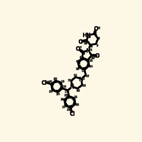 O=C1CCC(N2C(=O)c3ccc(CN4CCN(C(c5ccc(Cl)cc5)c5ccc(Cl)cc5)CC4)cc3C2=O)C(=O)N1